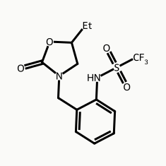 CCC1CN(Cc2ccccc2NS(=O)(=O)C(F)(F)F)C(=O)O1